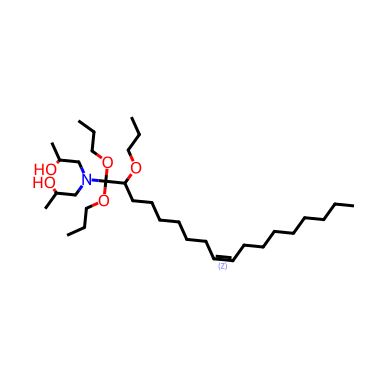 CCCCCCCC/C=C\CCCCCCC(OCCC)C(OCCC)(OCCC)N(CC(C)O)CC(C)O